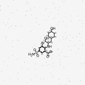 NS(=O)(=O)c1cc(Br)c(NC(CO)CC2CCC(O)CC2)c([N+](=O)[O-])c1